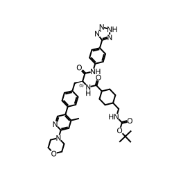 Cc1cc(N2CCOCC2)ncc1-c1ccc(C[C@H](NC(=O)C2CCC(CNC(=O)OC(C)(C)C)CC2)C(=O)Nc2ccc(-c3nn[nH]n3)cc2)cc1